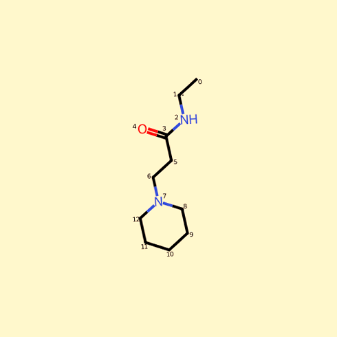 C[CH]NC(=O)CCN1CCCCC1